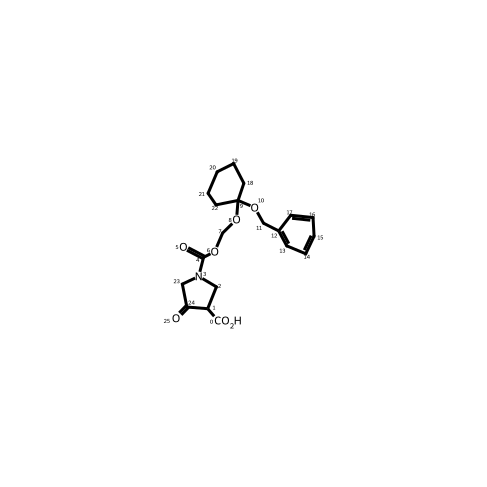 O=C(O)C1CN(C(=O)OCOC2(OCc3ccccc3)CCCCC2)CC1=O